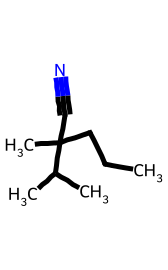 CCCC(C)(C#N)C(C)C